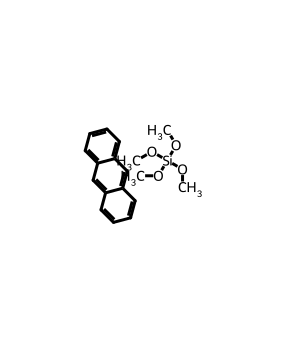 CO[Si](OC)(OC)OC.c1ccc2cc3ccccc3cc2c1